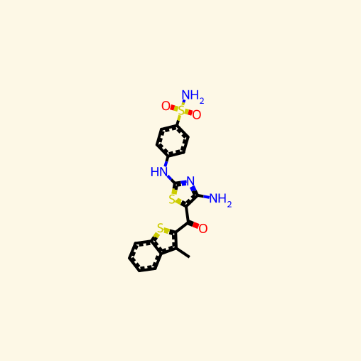 Cc1c(C(=O)c2sc(Nc3ccc(S(N)(=O)=O)cc3)nc2N)sc2ccccc12